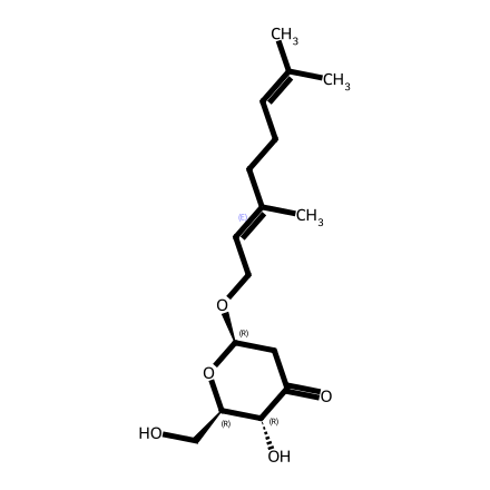 CC(C)=CCC/C(C)=C/CO[C@H]1CC(=O)[C@H](O)[C@@H](CO)O1